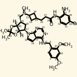 COc1ccc(CNc2ncnc3c2ccn3[C@@H]2C[C@H](CN(C)C3CC(CCC(=O)Nc4ccc(Br)cc4N)C3)[C@H]3OC(C)(C)O[C@H]32)c(OC)c1